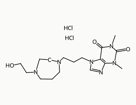 Cl.Cl.Cn1c(=O)c2c(ncn2CCCN2CCCN(CCO)CC2)n(C)c1=O